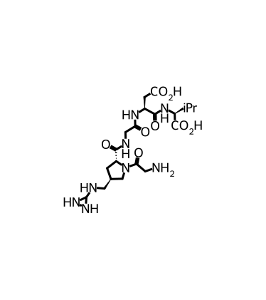 CC(C)[C@H](NC(=O)[C@H](CC(=O)O)NC(=O)CNC(=O)[C@H]1C[C@H](CNC2NN2)CN1C(=O)CN)C(=O)O